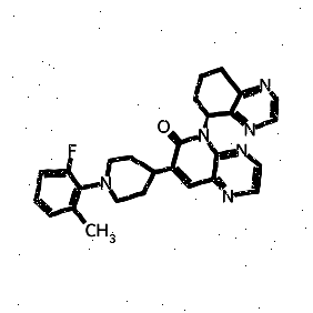 Cc1cccc(F)c1N1CCC(c2cc3nccnc3n([C@H]3CCCc4nccnc43)c2=O)CC1